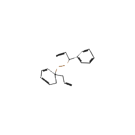 C=CCC1(SSC(C=C)c2ccccc2)C=CC=CC1